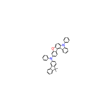 CC1(C)c2ccccc2-c2cc(N(c3ccccc3)c3ccc4c(c3)oc3ccc5c(c6ccccc6n5-c5ccccc5)c34)ccc21